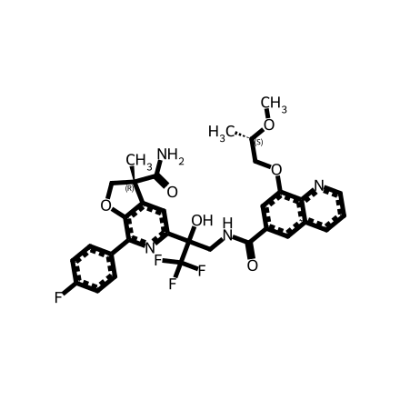 CO[C@@H](C)COc1cc(C(=O)NCC(O)(c2cc3c(c(-c4ccc(F)cc4)n2)OC[C@]3(C)C(N)=O)C(F)(F)F)cc2cccnc12